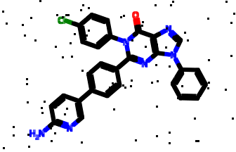 Nc1ccc(-c2ccc(-c3nc4c(ncn4-c4c[c]ccc4)c(=O)n3-c3ccc(Cl)cc3)cc2)cn1